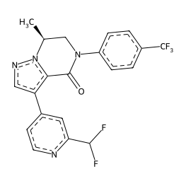 C[C@H]1CN(c2ccc(C(F)(F)F)cc2)C(=O)c2c(-c3ccnc(C(F)F)c3)cnn21